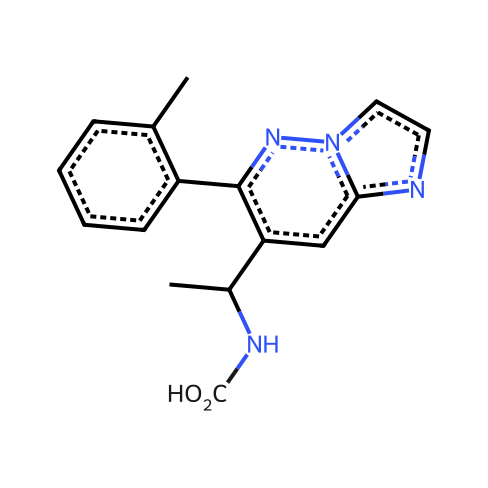 Cc1ccccc1-c1nn2ccnc2cc1C(C)NC(=O)O